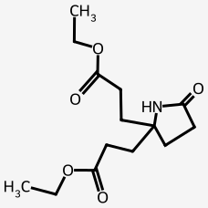 CCOC(=O)CCC1(CCC(=O)OCC)CCC(=O)N1